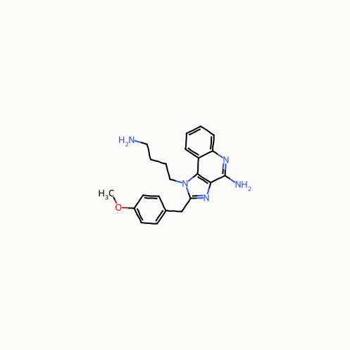 COc1ccc(Cc2nc3c(N)nc4ccccc4c3n2CCCCN)cc1